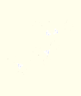 c1ccc(-n2c3ccccc3c3ccc(-c4cccc5c4c4ccccc4n5-c4cccc(-c5nc(-c6cccc7ccccc67)c6ccc7ccccc7c6n5)c4)cc32)cc1